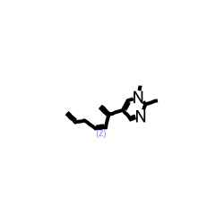 C=CC/C=C\C(=C)C1=CN(C)C(C)N=C1